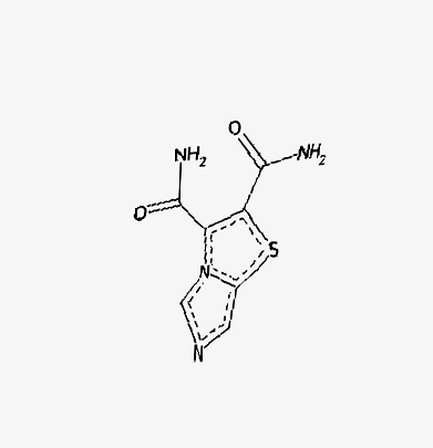 NC(=O)c1sc2cncn2c1C(N)=O